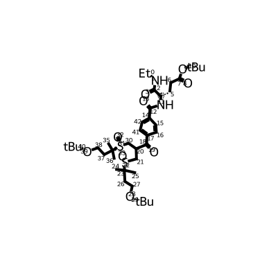 CCNC(=O)[C@H](CCC(=O)OC(C)(C)C)NC(=O)c1ccc(C(=O)C(CSC(C)(C)CCOC(C)(C)C)CS(=O)(=O)C(C)(C)CCOC(C)(C)C)cc1